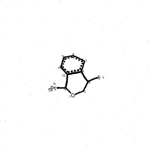 CCCC1OCC(F)c2ccccc21